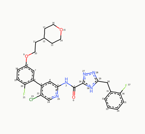 O=C(Nc1cc(-c2cc(OCCC3CCOCC3)ccc2F)c(Cl)cn1)c1nnc(Cc2ccccc2F)[nH]1